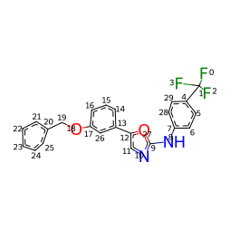 FC(F)(F)c1ccc(Nc2ncc(-c3cccc(OCc4ccccc4)c3)o2)cc1